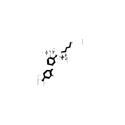 CCCCCCS(C)(N=O)C(=O)c1cc(Oc2ccc(C(F)(F)F)cc2Cl)ccc1[N+](=O)[O-]